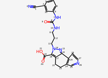 N#Cc1cccc(NC(=O)NCCCn2nc3c(c2C(=O)O)CCc2cnccc2-3)c1